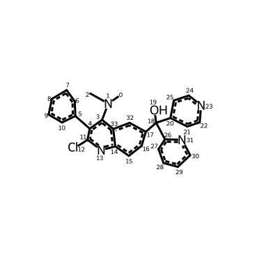 CN(C)c1c(-c2ccccc2)c(Cl)nc2ccc(C(O)(c3ccncc3)c3ccccn3)cc12